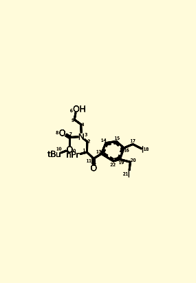 CCCC(CN(CCO)C(=O)OC(C)(C)C)C(=O)c1ccc(CI)c(CI)c1